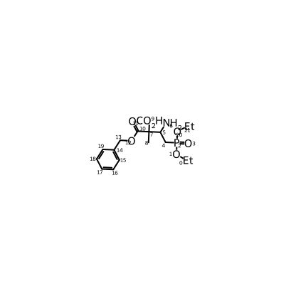 CCOP(=O)(CC(N)C(C)(C(=O)O)C(=O)OCc1ccccc1)OCC